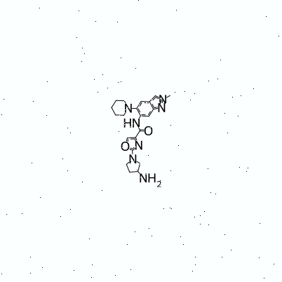 Cn1cc2cc(N3CCCCC3)c(NC(=O)c3coc(N4CCC(N)C4)n3)cc2n1